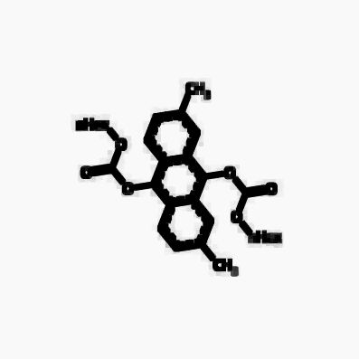 CCCCCCOC(=O)Oc1c2ccc(C)cc2c(OC(=O)OCCCCCC)c2cc(C)ccc12